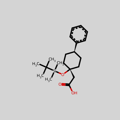 CC(C)(C)[Si](C)(C)O[C@]1(CC(=O)O)CC[C@@H](c2ccccc2)CC1